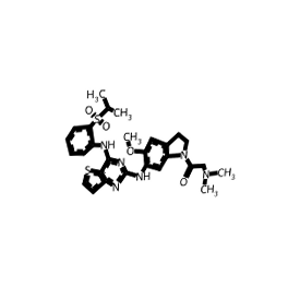 COc1cc2c(cc1Nc1nc(Nc3ccccc3S(=O)(=O)C(C)C)c3sccc3n1)N(C(=O)CN(C)C)CC2